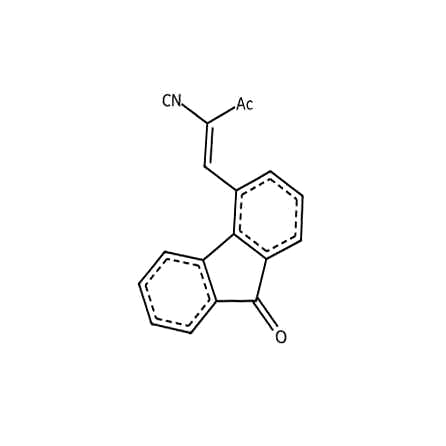 [C-]#[N+]C(=Cc1cccc2c1-c1ccccc1C2=O)C(C)=O